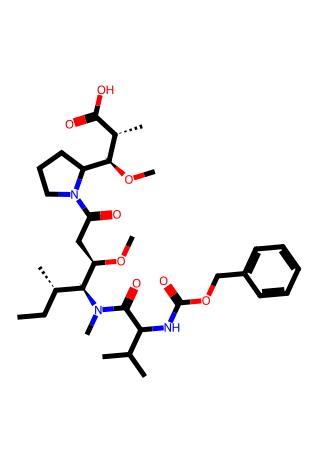 CC[C@H](C)[C@@H]([C@@H](CC(=O)N1CCCC1[C@H](OC)[C@@H](C)C(=O)O)OC)N(C)C(=O)C(NC(=O)OCc1ccccc1)C(C)C